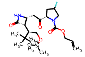 C=CCOC(=O)N1CC(F)C[C@H]1C(=O)C[C@H]1NC(=O)[C@H]1[C@@H](CO[SiH](C)C)C(C)(C)C